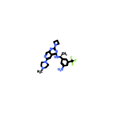 C[C@@H](Nc1nc(N2CCC2)nc2cnc(N3CCN(C)CC3)cc12)c1cc(N)cc(C(F)(F)F)c1